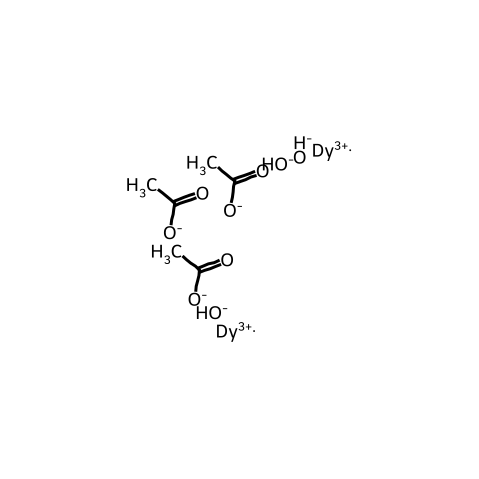 CC(=O)[O-].CC(=O)[O-].CC(=O)[O-].[Dy+3].[Dy+3].[OH-].[OH-].[OH-]